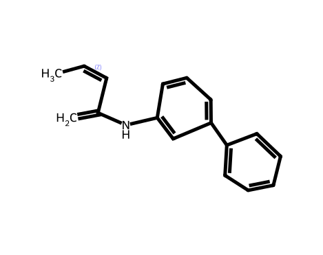 C=C(/C=C\C)Nc1cccc(-c2ccccc2)c1